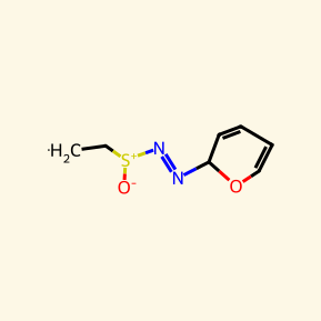 [CH2]C[S+]([O-])N=NC1C=CC=CO1